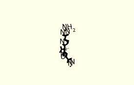 CC(C)[C@@](C)(c1ccc(-c2cnc(N)nc2)nc1)c1cc(-c2cnn(C)c2)on1